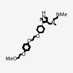 CNCCN(C)Cc1c[nH]nc1[C@H]1CC[C@@H](OCCOc2ccc(OCCOC)cc2)CC1